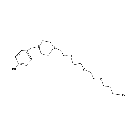 CCC(C)c1ccc(CN2CCN(CCOCCOCCOCCCC(C)C)CC2)cc1